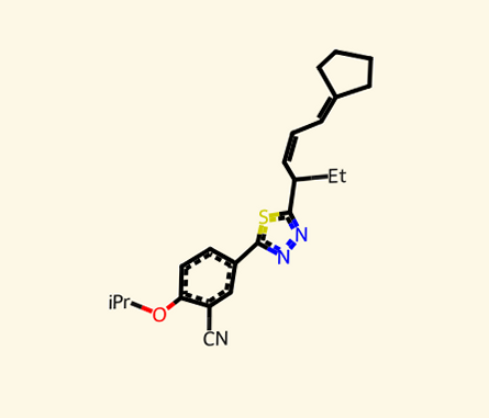 CCC(/C=C\C=C1CCCC1)c1nnc(-c2ccc(OC(C)C)c(C#N)c2)s1